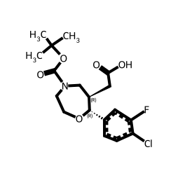 CC(C)(C)OC(=O)N1CCO[C@@H](c2ccc(Cl)c(F)c2)[C@H](CC(=O)O)C1